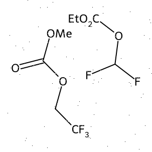 CCOC(=O)OC(F)F.COC(=O)OCC(F)(F)F